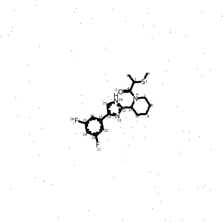 CSC(C)C(=O)N1CCCCC1c1nc(-c2cc(F)cc(F)c2)c[nH]1